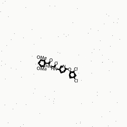 COc1cccc(OC)c1C(=O)NC(=O)Nc1ccc(Oc2ccc(Cl)cc2Cl)nc1